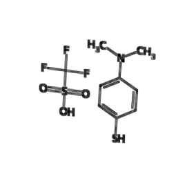 CN(C)c1ccc(S)cc1.O=S(=O)(O)C(F)(F)F